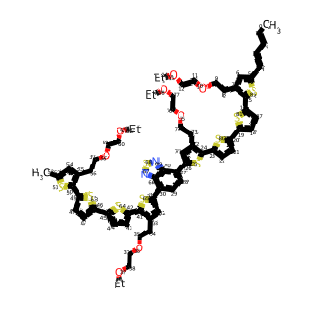 C/C=C/C=C/c1cc(CCOCCOCC)c(-c2ccc(-c3ccc(-c4sc(-c5ccc(-c6cc(CCOCCOCC)c(-c7ccc(-c8ccc(-c9sc(C)cc9CCOCCOCC)s8)s7)s6)c6nsnc56)cc4CCOCCOCC)s3)s2)s1